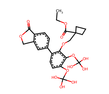 CCOC(=O)C1(COc2c(-c3ccc4c(c3)COC4=O)ccc(OC(O)(O)O)c2OC(O)(O)O)CCC1